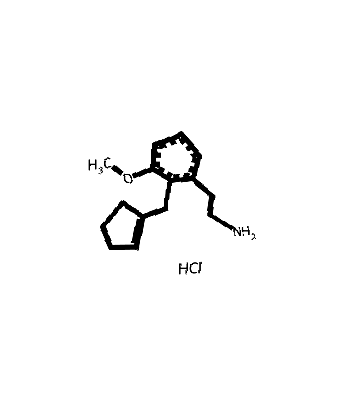 COc1cccc(CCN)c1CC1=CCCC1.Cl